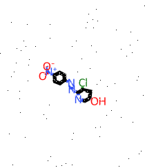 O=[N+]([O-])c1ccc(N=Nc2ncc(O)cc2Cl)cc1